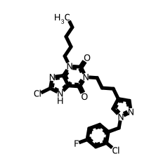 CCCCCn1c(=O)n(CCCc2cnn(Cc3ccc(F)cc3Cl)c2)c(=O)c2[nH]c(Cl)nc21